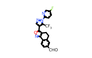 O=Cc1ccc2c(c1)CCc1c-2noc1-c1cnn(-c2ccc(F)cn2)c1C(F)(F)F